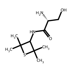 CC1(C)SC(C)(C)C1NC(=O)[C@H](N)CO